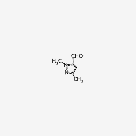 Cc1cc([C]=O)n(C)n1